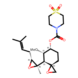 CO[C@@H]1[C@H](OC(=O)N2CCS(=O)(=O)CC2)CC[C@]2(CO2)[C@H]1[C@@]1(C)O[C@@H]1CC=C(C)C